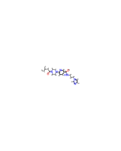 CCC(C)CC(=O)N1CCN(c2ccc(C(=O)NCCCn3ccnc3)cn2)CC1